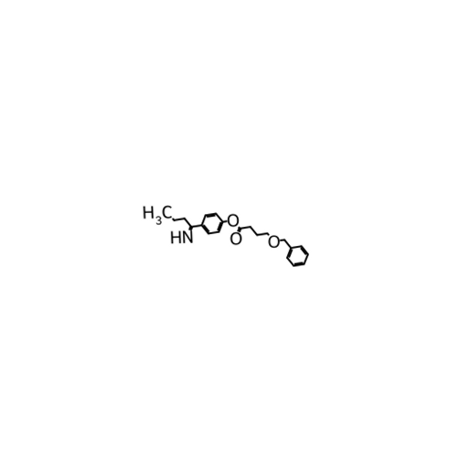 CCCC(=N)c1ccc(OC(=O)CCCOCc2ccccc2)cc1